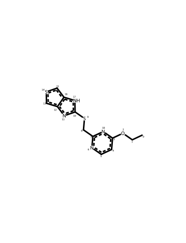 CCOc1ccnc(CSc2nc3cscc3[nH]2)n1